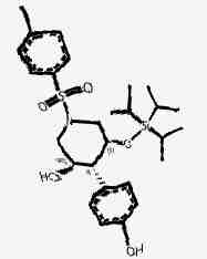 Cc1ccc(S(=O)(=O)N2C[C@H](O)[C@@H](c3ccc(O)cc3)[C@H](O[Si](C(C)C)(C(C)C)C(C)C)C2)cc1